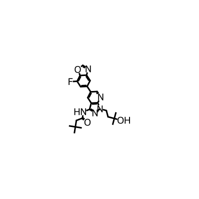 CC(C)(C)CC(=O)Nc1nn(CCC(C)(C)O)c2ncc(-c3cc(F)c4ocnc4c3)cc12